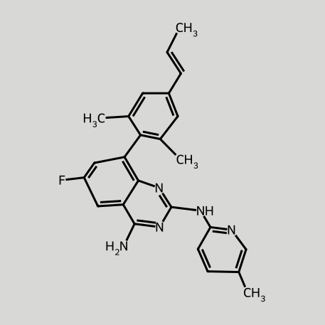 C/C=C/c1cc(C)c(-c2cc(F)cc3c(N)nc(Nc4ccc(C)cn4)nc23)c(C)c1